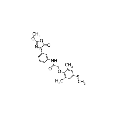 COc1nn(-c2cccc(NC(=O)COc3c(C)cc(SC)cc3C)c2)c(=O)o1